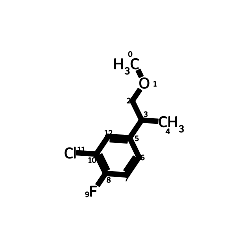 COC[C](C)c1ccc(F)c(Cl)c1